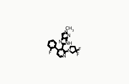 Cn1cc2nc(-c3c(-c4ccccc4F)ccnc3N3CCC(F)(F)C3)[nH]c2n1